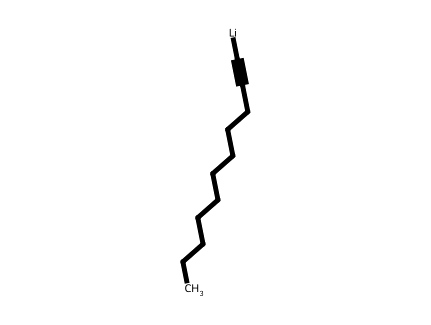 [Li][C]#CCCCCCCCCC